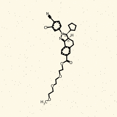 COCCOCCOCCOC(=O)c1ccc2c(c1)CC[C@H]1C2=NN(c2ccc(C#N)c(Cl)c2)[C@H]1C1CCCC1